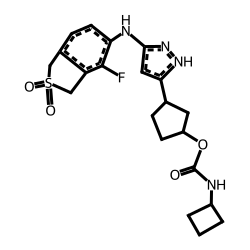 O=C(NC1CCC1)OC1CCC(c2cc(Nc3ccc4c(c3F)CS(=O)(=O)C4)n[nH]2)C1